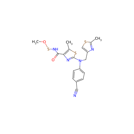 COSNC(=O)c1nc(N(Cc2csc(C)n2)c2ccc(C#N)cc2)sc1C